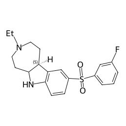 CCN1CCC2Nc3ccc(S(=O)(=O)c4cccc(F)c4)cc3[C@@H]2CC1